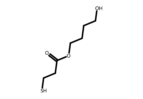 O=C(CCS)OCCCCO